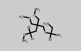 CCC(N)(CN)OCC(CON)(CON)CC(CC)(CC)ON